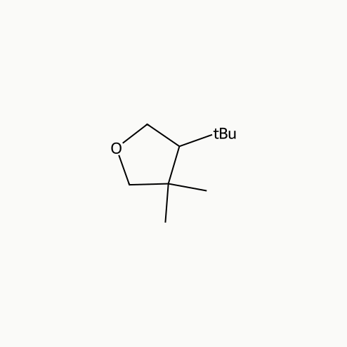 CC(C)(C)C1COCC1(C)C